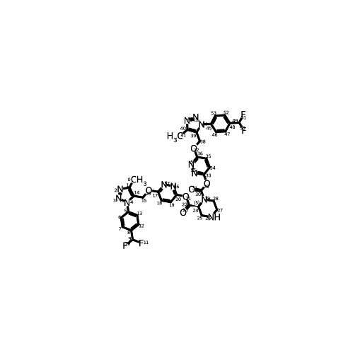 Cc1nnn(-c2ccc(C(F)F)cc2)c1COc1ccc(OC(=O)[C@@H]2CNCCN2C(=O)Oc2ccc(OCc3c(C)nnn3-c3ccc(C(F)F)cc3)nn2)nn1